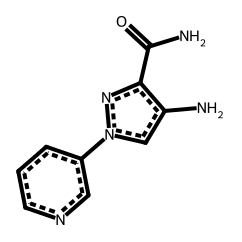 NC(=O)c1nn(-c2cccnc2)cc1N